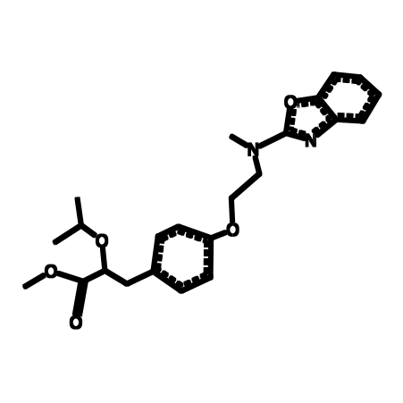 COC(=O)C(Cc1ccc(OCCN(C)c2nc3ccccc3o2)cc1)OC(C)C